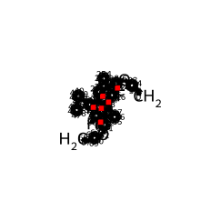 C=Cc1ccc(Oc2ccc(C3(c4c(F)c(F)cc(F)c4F)c4ccccc4-c4ccc(N(c5cccc(-c6ccccc6-c6ccccc6)c5)c5ccc6c(c5)C(c5ccc(Oc7ccc(C=C)cc7)cc5)(c5c(F)c(F)cc(F)c5F)c5ccccc5-6)cc43)cc2)cc1